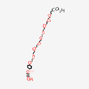 CC(C)(O)C(C)(C)OBc1ccc(OCCOCCOCCOCCOCCOCCOCCOCCOCCC(=O)O)cc1